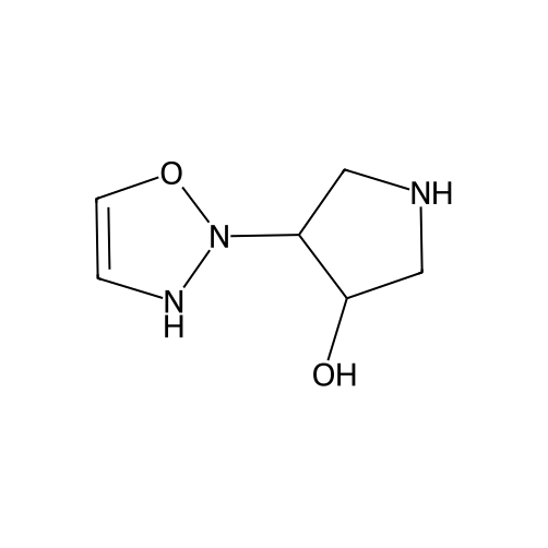 OC1CNCC1N1NC=CO1